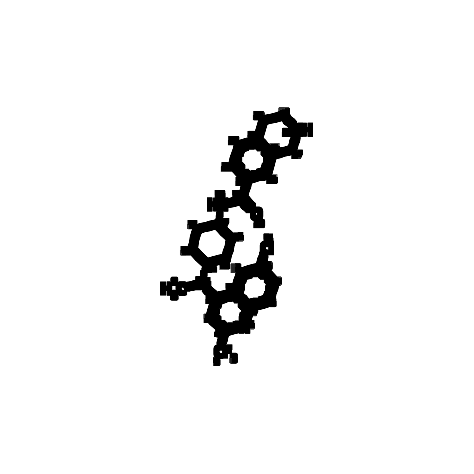 CN(c1cc(C(F)(F)F)nc2ccc(Cl)cc12)[C@H]1CC[C@@H](NC(=O)c2ccc3c(c2)CNCC3)CC1